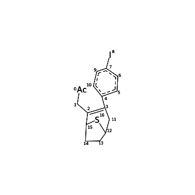 CC(=O)CC1=C(c2ccc(I)cc2)CC2CCC1S2